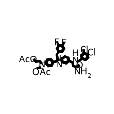 CC(=O)OCCN(CCOC(C)=O)c1ccc(-c2nc3cc(C(CC(N)=O)NCc4ccc(Cl)c(Cl)c4)ccc3n2Cc2ccc(F)c(F)c2)cc1